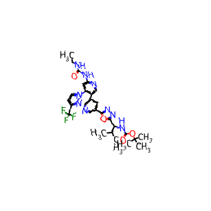 CCNC(=O)Nc1cc(-n2ccc(C(F)(F)F)n2)c(-c2cncc(-c3nnc(C(NC(=O)OC(C)(C)C)C(C)C)o3)c2)cn1